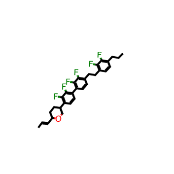 C/C=C/C1CCC(c2ccc(-c3ccc(CCc4ccc(CCC)c(F)c4F)c(F)c3F)c(F)c2F)CO1